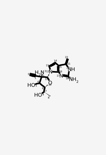 C#C[C@@]1(N)C(O)[C@@H]([C@H](C)O)O[C@H]1n1ccc2c1N=C(N)NC2=C